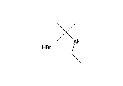 Br.C[CH2][Al][C](C)(C)C